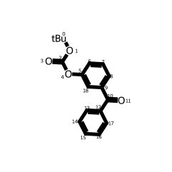 CC(C)(C)OC(=O)Oc1cccc(C(=O)c2ccccc2)c1